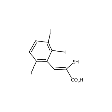 O=C(O)/C(S)=C/c1c(I)ccc(I)c1I